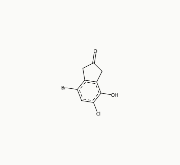 O=C1Cc2c(Br)cc(Cl)c(O)c2C1